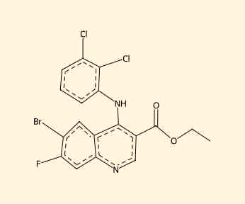 CCOC(=O)c1cnc2cc(F)c(Br)cc2c1Nc1cccc(Cl)c1Cl